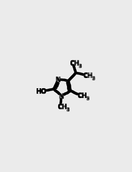 Cc1c(C(C)C)nc(O)n1C